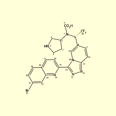 O=C(O)N(C1CCNC1)[C@@H](c1ccc2nnc(-c3ccc4ccc(Br)cc4n3)n2c1)C(F)(F)F